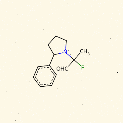 CC(F)(C=O)N1CCCC1c1ccccc1